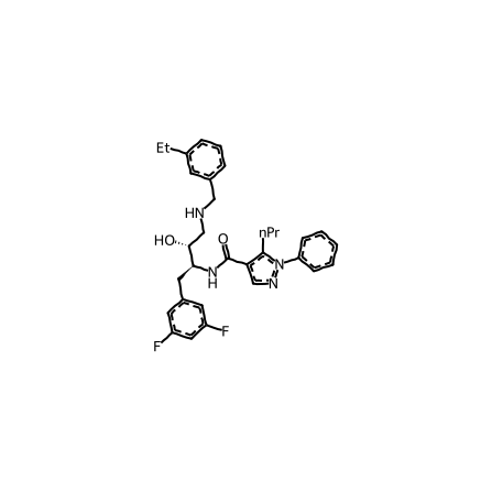 CCCc1c(C(=O)N[C@@H](Cc2cc(F)cc(F)c2)[C@H](O)CNCc2cccc(CC)c2)cnn1-c1ccccc1